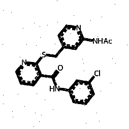 CC(=O)Nc1cc(CSc2ncccc2C(=O)Nc2cccc(Cl)c2)ccn1